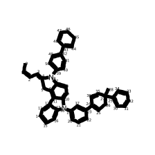 C/C=C\C=C1/Cc2c(ccc3c2c2ccccc2n3-c2cccc(C3=CCC(C)(c4ccccc4)C=C3)c2)N1c1ccc(C2=CCCC=C2)cc1